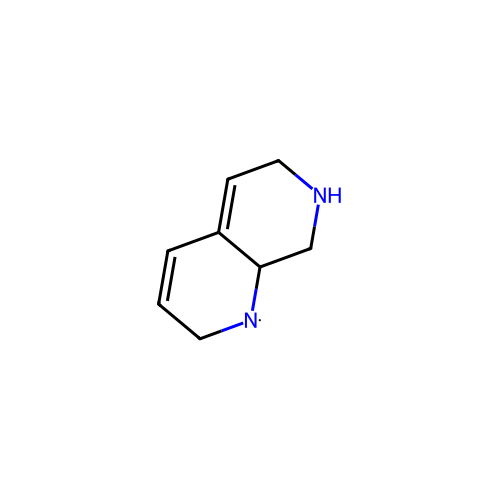 C1=CC2=CCNCC2[N]C1